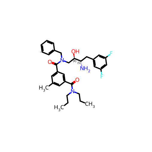 CCCN(CCC)C(=O)c1cc(C)cc(C(=O)N(Cc2c[c]ccc2)C[C@@H](O)[C@@H](N)Cc2cc(F)cc(F)c2)c1